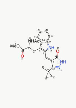 COC(=O)C(Cc1c(C=C2C(=O)NN=C2C2(C)CC2)[nH]c2ccccc12)NC(C)=O